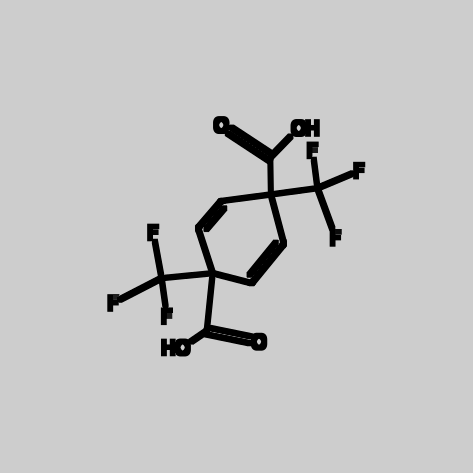 O=C(O)C1(C(F)(F)F)C=CC(C(=O)O)(C(F)(F)F)C=C1